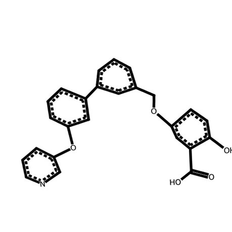 O=C(O)c1cc(OCc2cccc(-c3cccc(Oc4cccnc4)c3)c2)ccc1O